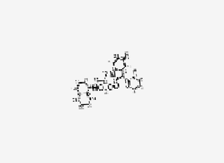 Cc1ccccc1-c1c(OC(=O)O)n(CCCOc2cccc3ccccc23)c2ccc(F)cc12